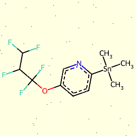 [CH3][Sn]([CH3])([CH3])[c]1ccc(OC(F)(F)C(F)C(F)F)cn1